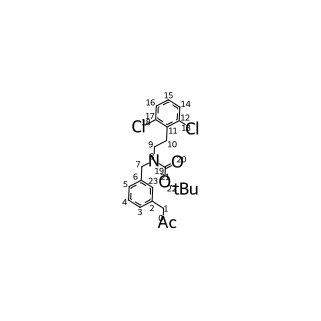 CC(=O)Cc1cccc(CN(CCc2c(Cl)cccc2Cl)C(=O)OC(C)(C)C)c1